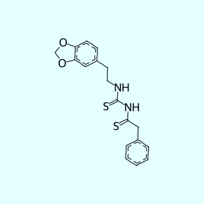 S=C(Cc1ccccc1)NC(=S)NCCc1ccc2c(c1)OCO2